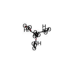 O=C(NCCCCCCn1c(=O)n(CCCCCCNC(=O)OCC2CO2)c(=O)n(CCCCCCNC(=O)OCC2CO2)c1=O)OCC1CO1